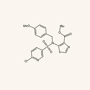 COc1ccc(CN(c2scnc2C(=O)OC(C)(C)C)S(=O)(=O)c2ccc(Cl)nc2)cc1